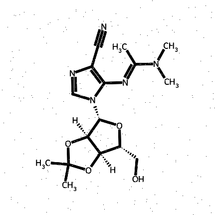 CC(=Nc1c(C#N)ncn1[C@@H]1O[C@H](CO)[C@H]2OC(C)(C)O[C@H]21)N(C)C